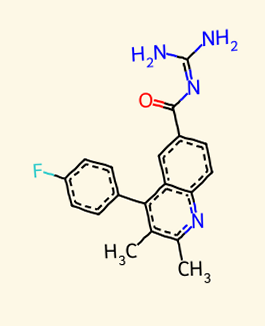 Cc1nc2ccc(C(=O)N=C(N)N)cc2c(-c2ccc(F)cc2)c1C